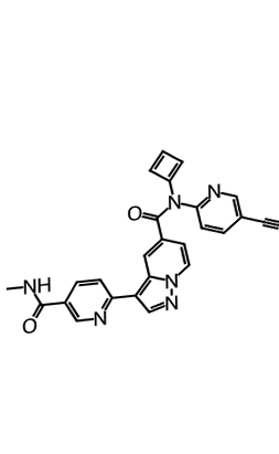 CNC(=O)c1ccc(-c2cnn3ccc(C(=O)N(C4=CC=C4)c4ccc(C#N)cn4)cc23)nc1